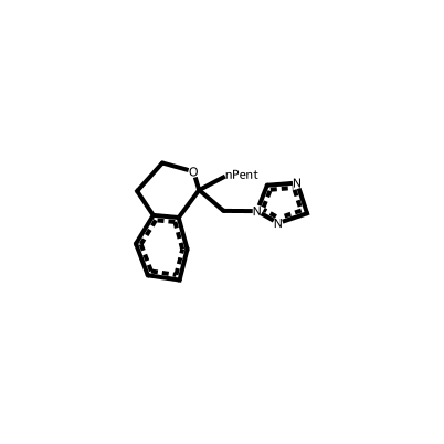 CCCCCC1(Cn2cncn2)OCCc2ccccc21